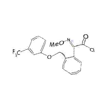 CO/N=C(/C(=O)Cl)c1ccccc1COc1cccc(C(F)(F)F)c1